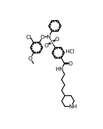 COc1ccc(ON(c2ccccc2)S(=O)(=O)c2ccc(C(=O)NCCCCC3CCNCC3)cc2)c(Cl)c1.Cl